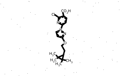 CC1(C)C(CCOc2ccn(-c3ccc(C(=O)O)c(Cl)n3)n2)C1(C)C